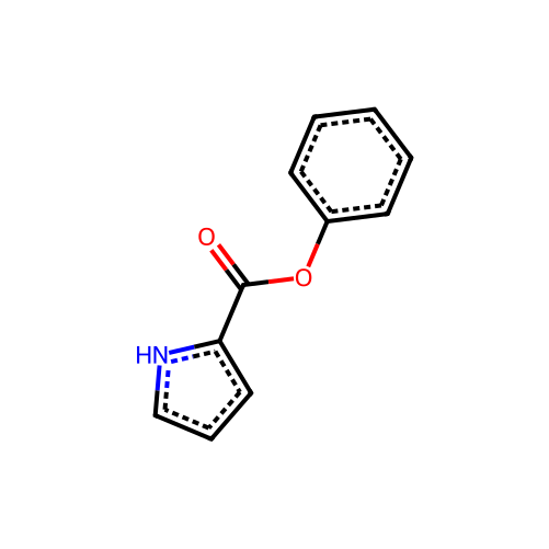 O=C(Oc1ccccc1)c1ccc[nH]1